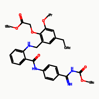 CC(=O)OCc1cc(CNc2ccccc2C(=O)Nc2ccc(C(=N)NC(=O)OC(C)(C)C)cc2)c(OCC(=O)OC(C)(C)C)c(OC(C)C)c1